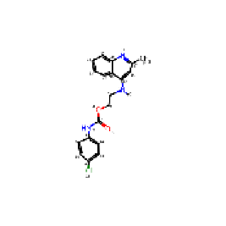 CN(CCOC(=O)Nc1ccc(Cl)cc1)c1cc(C(F)(F)F)nc2ccccc12